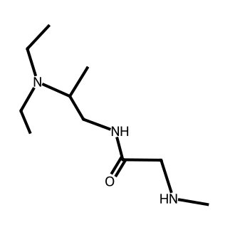 CCN(CC)C(C)CNC(=O)CNC